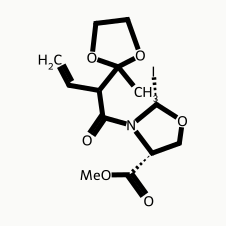 C=CC(C(=O)N1[C@H](I)OC[C@@H]1C(=O)OC)C1(C)OCCO1